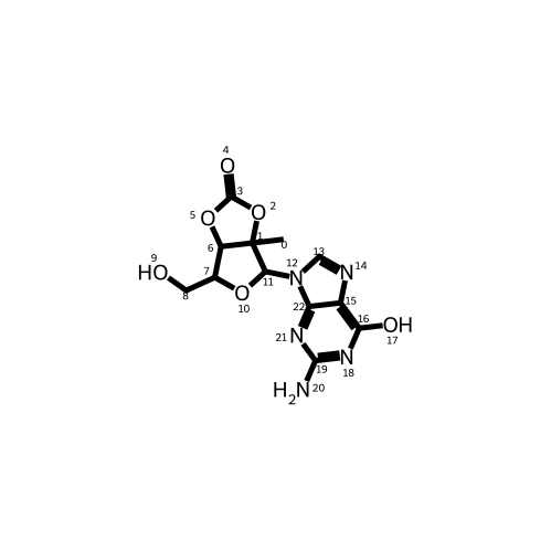 CC12OC(=O)OC1C(CO)OC2n1cnc2c(O)nc(N)nc21